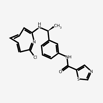 C[C@H](NC1=C/C=C/C=C/C(Cl)=N\1)c1cccc(NC(=O)c2cncs2)c1